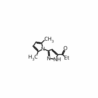 CCC(=O)c1cc(-n2c(C)ccc2C)n[nH]1